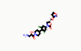 NC[C@@H](O)C(=O)N1CC=C(c2c(F)cc(N3C[C@H](COc4ccon4)OC3=O)cc2F)CC1